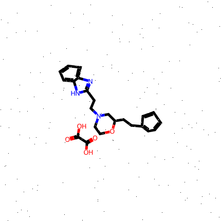 O=C(O)C(=O)O.c1ccc(CCC2CN(CCc3nc4ccccc4[nH]3)CCO2)cc1